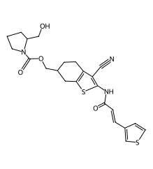 N#Cc1c(NC(=O)C=Cc2ccsc2)sc2c1CCC(COC(=O)N1CCCC1CO)C2